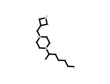 CCCCCC(C)N1CCN(CC2COC2)CC1